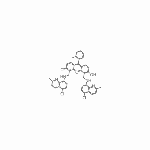 Cc1ccc2c(Cl)ccc(NCc3c4oc5c(CNc6ccc(Cl)c7ccc(C)nc67)c(O)ccc5c(-c5ccccc5C)c-4ccc3=O)c2n1